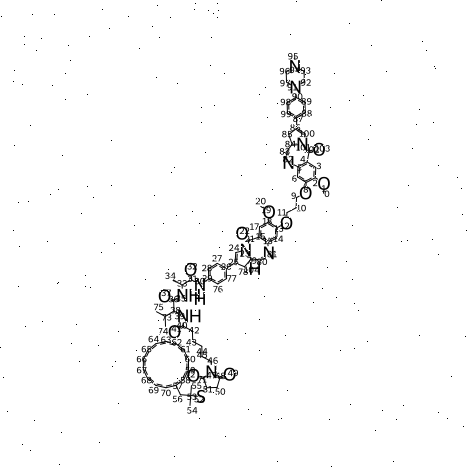 COc1cc2c(cc1OCCCOc1cc3c(cc1OC)C(=O)N1C=C(c4ccc(NC(=O)[C@H](C)NC(=O)[C@@H](NC(=O)CCCCCN5C(=O)CC(SC(C)(C)Cc6ccccccccccccc6)C5=O)C(C)C)cc4)C[C@H]1C=N3)N=CC1CC(c3ccc(N4CCN(C)CC4)cc3)=CN1C2=O